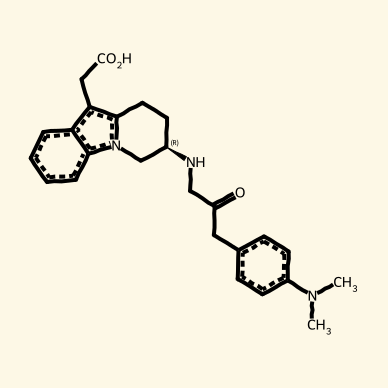 CN(C)c1ccc(CC(=O)CN[C@@H]2CCc3c(CC(=O)O)c4ccccc4n3C2)cc1